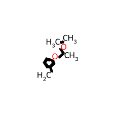 C=Cc1cccc(OCC(C)COC(C)C)c1